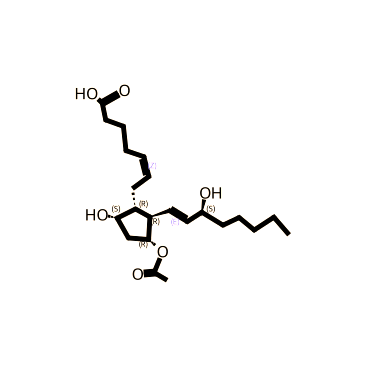 CCCCC[C@H](O)/C=C/[C@@H]1[C@@H](C/C=C\CCCC(=O)O)[C@@H](O)C[C@H]1OC(C)=O